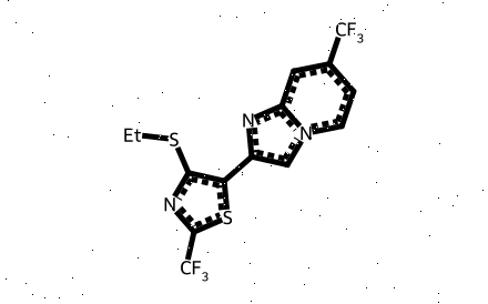 CCSc1nc(C(F)(F)F)sc1-c1cn2ccc(C(F)(F)F)cc2n1